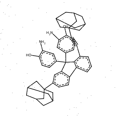 Nc1cc(C2(c3ccc(O)c(N)c3)c3cc(C45CC6CC(CC(C6)C4)C5)ccc3-c3cccc(C#CC45CC6CC(CC(C6)C4)C5)c32)ccc1O